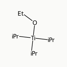 CC[O][Ti]([CH](C)C)([CH](C)C)[CH](C)C